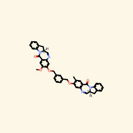 COc1cc2c(cc1OCc1cccc(COc3cc4c(cc3C)C(=O)N3c5ccccc5C[C@H]3C=N4)c1)N=C[C@@H]1Cc3ccccc3N1C2=O